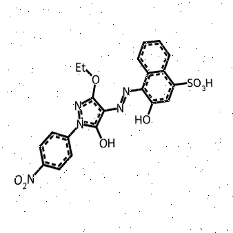 CCOc1nn(-c2ccc([N+](=O)[O-])cc2)c(O)c1N=Nc1c(O)cc(S(=O)(=O)O)c2ccccc12